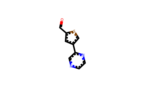 O=Cc1cc(-c2cnccn2)cs1